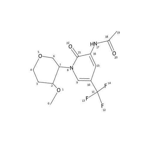 COC1CCOCC1n1cc(C(F)(F)F)cc(NC(C)=O)c1=O